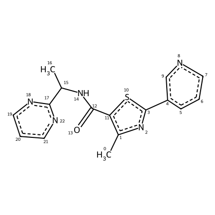 Cc1nc(-c2cccnc2)sc1C(=O)NC(C)c1ncccn1